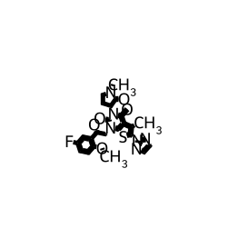 COc1ccc(F)cc1C(=O)Cn1c(=O)n([C@@H]2CCN(C)C2=O)c(=O)c2c(C)c(-n3nccn3)sc21